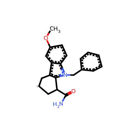 COc1ccc2c(c1)c1c(n2Cc2ccccc2)C(C(N)=O)C[C]C1